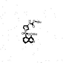 COc1cncc2cccc(S(=O)(=O)N3CC[C@@H](NC(=O)OC(C)(C)C)C3)c12